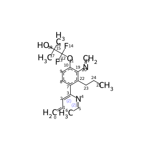 C=C/C=C(\N=C/C)c1ccc(OC(F)(F)C(C)(C)O)c(N=C)c1CCC